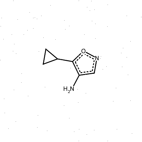 Nc1cnoc1C1CC1